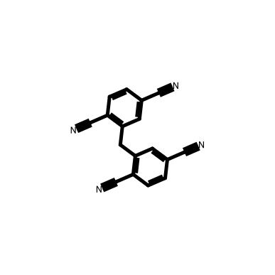 N#Cc1ccc(C#N)c(Cc2cc(C#N)ccc2C#N)c1